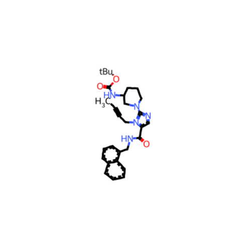 CC#CCn1c(C(=O)NCc2cccc3ccccc23)cnc1N1CCCC(NC(=O)OC(C)(C)C)C1